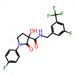 O=C(NCc1cc(F)cc(C(F)(F)F)c1)C1(O)CCN(c2ccc(F)cc2)C1=O